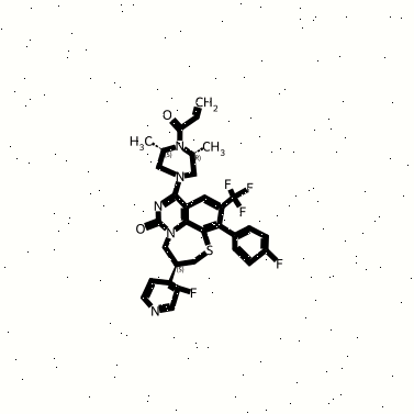 C=CC(=O)N1[C@H](C)CN(c2nc(=O)n3c4c(c(-c5ccc(F)cc5)c(C(F)(F)F)cc24)SC[C@@H](c2ccncc2F)C3)C[C@@H]1C